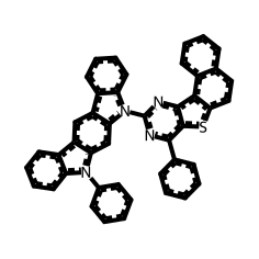 c1ccc(-c2nc(-n3c4ccccc4c4cc5c6ccccc6n(-c6ccccc6)c5cc43)nc3c2sc2ccc4ccccc4c23)cc1